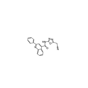 N#CCc1nnc(NC(=O)c2cc(-c3ccccc3)nc3ccccc23)o1